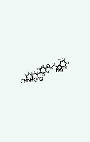 O=C(O)C(=Cc1ccc(Cl)cc1)c1ccc(OCCc2noc3ccccc23)cc1